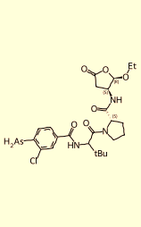 CCO[C@@H]1OC(=O)C[C@@H]1NC(=O)[C@@H]1CCCN1C(=O)C(NC(=O)c1ccc([AsH2])c(Cl)c1)C(C)(C)C